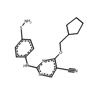 N#Cc1cnc(Nc2ccc(SN)cc2)nc1OCC1CCCC1